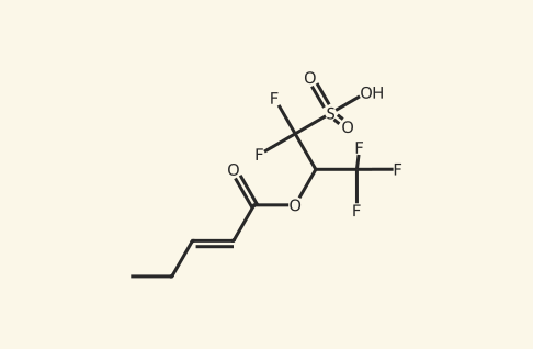 CC/C=C/C(=O)OC(C(F)(F)F)C(F)(F)S(=O)(=O)O